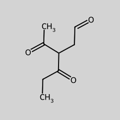 CCC(=O)C(CC=O)C(C)=O